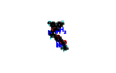 N[C@H](C(=O)Nc1cncc(F)c1CC[C@@H]1CN[C@H](COC(=O)NCC(F)(F)F)CO1)C(c1ccc(F)cc1)c1ccc(F)cc1